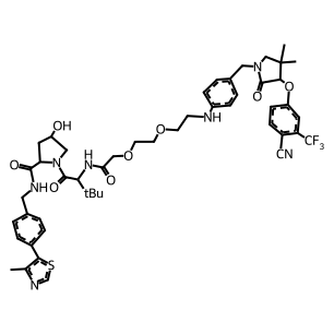 Cc1ncsc1-c1ccc(CNC(=O)C2CC(O)CN2C(=O)C(NC(=O)COCCOCCNc2ccc(CN3CC(C)(C)C(Oc4ccc(C#N)c(C(F)(F)F)c4)C3=O)cc2)C(C)(C)C)cc1